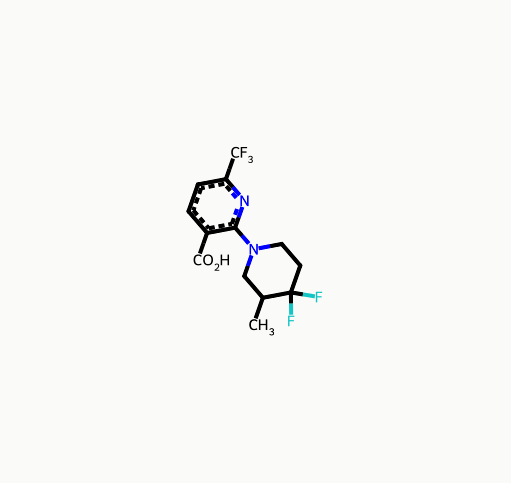 CC1CN(c2nc(C(F)(F)F)ccc2C(=O)O)CCC1(F)F